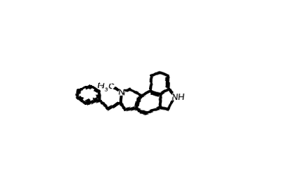 CN1CC2=C(CC3CNC4=CCCC2=C43)CC1Cc1ccccc1